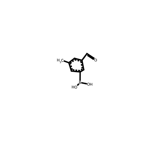 Cc1cc(C=O)cc(B(O)O)c1